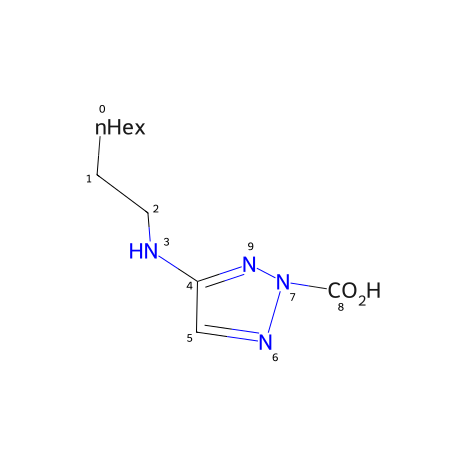 CCCCCCCCNc1cnn(C(=O)O)n1